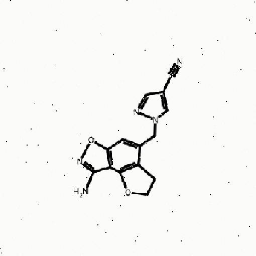 N#Cc1cnn(Cc2cc3onc(N)c3c3c2CCO3)c1